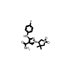 CC1(C)CS(=O)(=O)C[C@@H]1n1cc(C(N)=O)c(Nc2ccc(F)cc2)n1